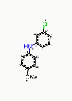 COc1ccc(Nc2cccc(Cl)c2)cc1